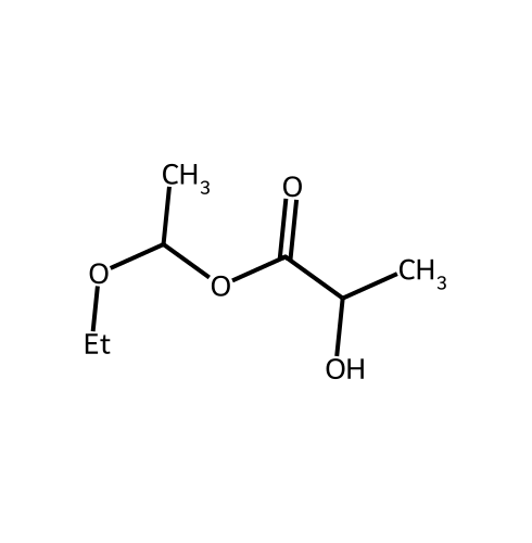 CCOC(C)OC(=O)C(C)O